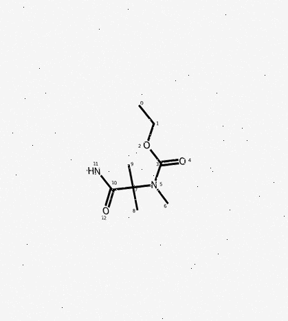 CCOC(=O)N(C)C(C)(C)C([NH])=O